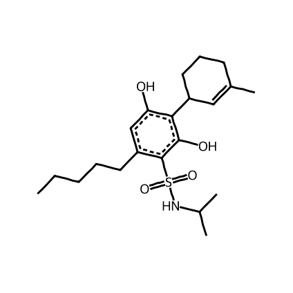 CCCCCc1cc(O)c(C2C=C(C)CCC2)c(O)c1S(=O)(=O)NC(C)C